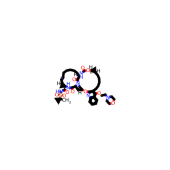 CC1(S(=O)(=O)NC(=O)[C@@]23C[C@H]2/C=C/CCCCC[C@@H]2NC(=O)O[C@@H]4C[C@H]4CCCCCc4c(nc5ccccc5c4OCCN4CCOCC4)O[C@H]4C[C@H](C(=O)N3)N(C4)C2=O)CC1